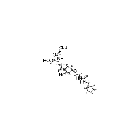 CC(C)(C)COC(=O)N[C@@H](CNC(=O)c1ccc(OCCNC(=O)NCc2ccccc2)cc1O)C(=O)O